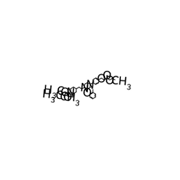 CCOC(=O)COc1ccc(N2CCN(CCC3CCN(C(=O)OC(C)(C)C)CC3)C(=O)[C@H]2Cc2ccccc2)cc1